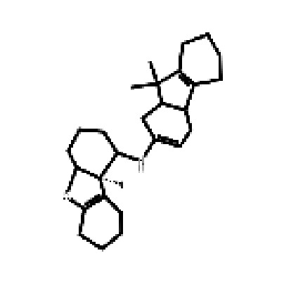 CC1(C)C2=C(CCCC2)C2CC=C(NC3CCCC4OC5=C(CCCC5)[C@H]34)CC21